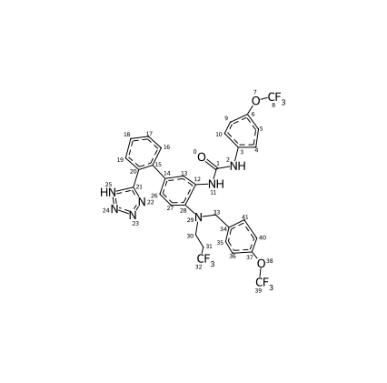 O=C(Nc1ccc(OC(F)(F)F)cc1)Nc1cc(-c2ccccc2-c2nnn[nH]2)ccc1N(CCC(F)(F)F)Cc1ccc(OC(F)(F)F)cc1